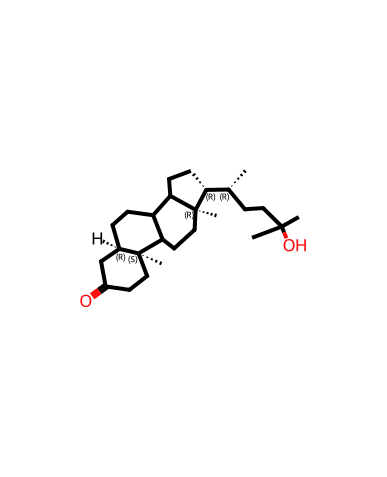 C[C@H](CCC(C)(C)O)[C@H]1CCC2C3CC[C@@H]4CC(=O)CC[C@]4(C)C3CC[C@@]21C